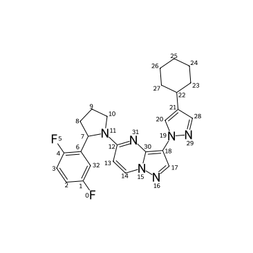 Fc1ccc(F)c(C2CCCN2c2ccn3ncc(-n4cc(C5CCCCC5)cn4)c3n2)c1